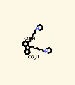 O=C(O)c1ccc2c(c1)C(CCCCCCN1CCCCC1)c1c-2ccc(C(=O)O)c1CCCCCCN1CCCCC1